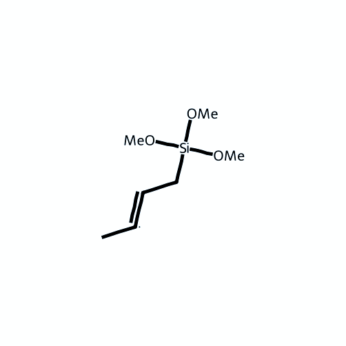 C[C]=CC[Si](OC)(OC)OC